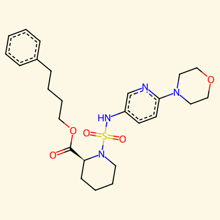 O=C(OCCCCc1ccccc1)[C@@H]1CCCCN1S(=O)(=O)Nc1ccc(N2CCOCC2)nc1